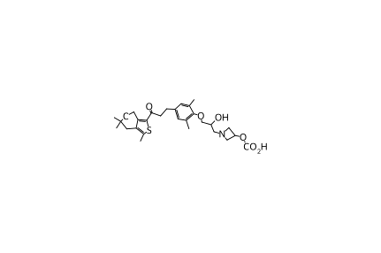 Cc1cc(CCC(=O)c2sc(C)c3c2CCC(C)(C)C3)cc(C)c1OCC(O)CN1CC(OC(=O)O)C1